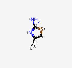 CC(=O)c1csc(N)n1